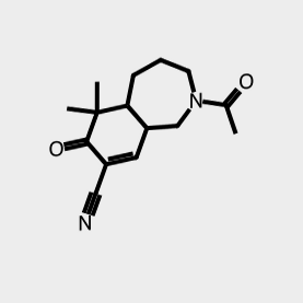 CC(=O)N1CCCC2C(C=C(C#N)C(=O)C2(C)C)C1